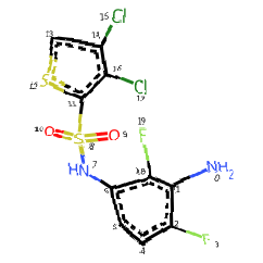 Nc1c(F)ccc(NS(=O)(=O)c2scc(Cl)c2Cl)c1F